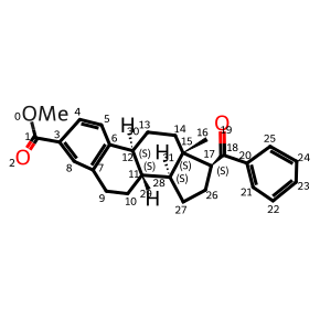 COC(=O)c1ccc2c(c1)CC[C@@H]1[C@@H]2CC[C@]2(C)[C@@H](C(=O)c3ccccc3)CC[C@@H]12